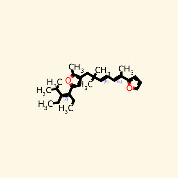 CC/C(=C(\CC)C(C)C)c1cc(CC(C)(C)/C=C/C=C(\C)c2ccco2)c(C)o1